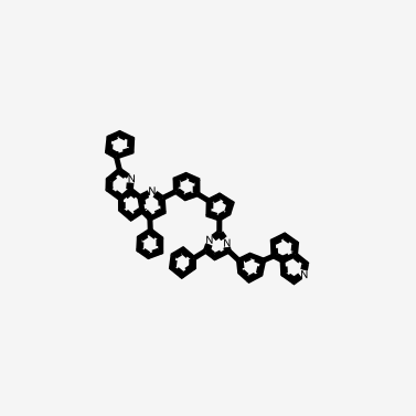 c1ccc(-c2cc(-c3cccc(-c4cccc5cnccc45)c3)nc(-c3cccc(-c4cccc(-c5cc(-c6ccccc6)c6ccc7ccc(-c8ccccc8)nc7c6n5)c4)c3)n2)cc1